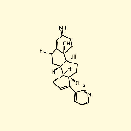 C[C@]12CCC(=N)C=C1C(F)C[C@@H]1[C@@H]2CC[C@]2(C)C(c3cccnc3)=CC[C@@H]12